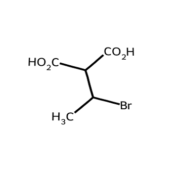 CC(Br)C(C(=O)O)C(=O)O